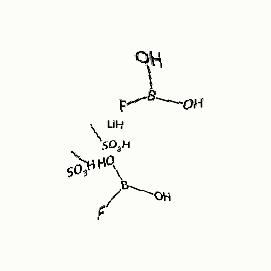 CS(=O)(=O)O.CS(=O)(=O)O.OB(O)F.OB(O)F.[LiH]